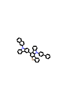 c1ccc(-c2ccc(-n3c4ccccc4c4c(-c5ccc6c(c5)c5ccccc5n6-c5ccc6ccccc6c5)cc5sc6ccccc6c5c43)cc2)cc1